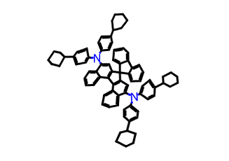 c1ccc2c(c1)-c1ccccc1C21c2cc(N(c3ccc(C4CCCCC4)cc3)c3ccc(C4CCCCC4)cc3)c3ccccc3c2-c2c1cc(N(c1ccc(C3CCCCC3)cc1)c1ccc(C3CCCCC3)cc1)c1ccccc21